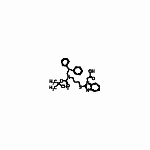 CC(C)(C)OC(=O)N(CCCSc1nc2ccccc2n1CC(=O)O)CC(c1ccccc1)c1ccccc1